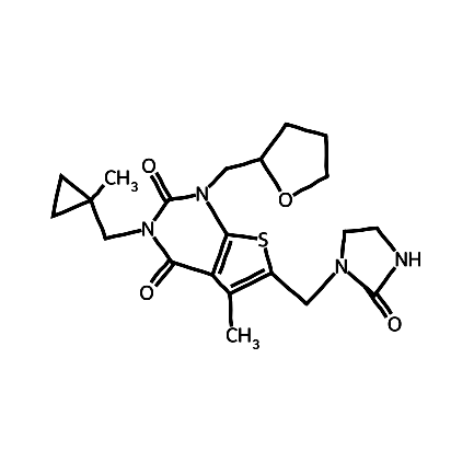 Cc1c(CN2CCNC2=O)sc2c1c(=O)n(CC1(C)CC1)c(=O)n2CC1CCCO1